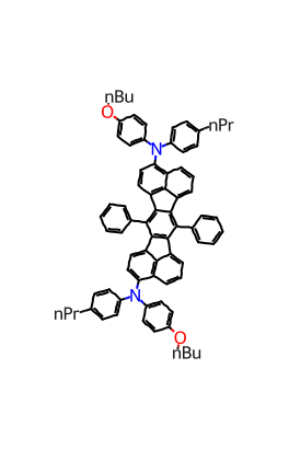 CCCCOc1ccc(N(c2ccc(CCC)cc2)c2ccc3c4c(-c5ccccc5)c5c6ccc(N(c7ccc(CCC)cc7)c7ccc(OCCCC)cc7)c7cccc(c5c(-c5ccccc5)c4c4cccc2c43)c76)cc1